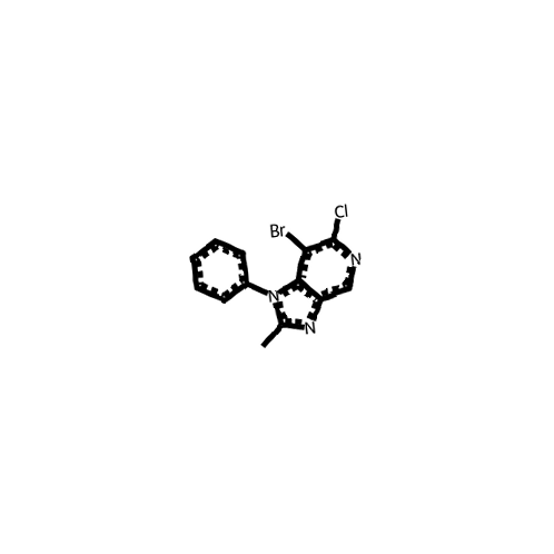 Cc1nc2cnc(Cl)c(Br)c2n1-c1ccccc1